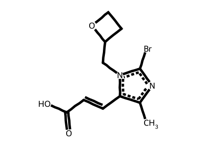 Cc1nc(Br)n(CC2CCO2)c1/C=C/C(=O)O